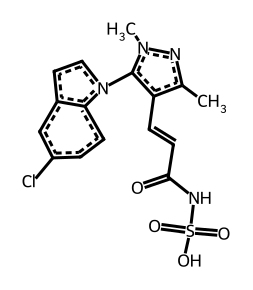 Cc1nn(C)c(-n2ccc3cc(Cl)ccc32)c1C=CC(=O)NS(=O)(=O)O